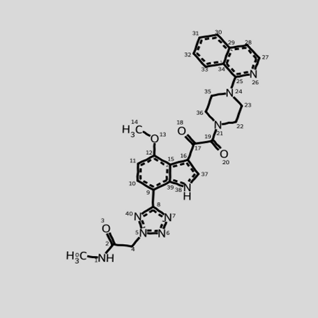 CNC(=O)Cn1nnc(-c2ccc(OC)c3c(C(=O)C(=O)N4CCN(c5nccc6ccccc56)CC4)c[nH]c23)n1